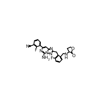 N#Cc1cccc(-c2cc3nc(Cc4c(F)cccc4CNC4CCOC4=O)nn3c(N)n2)c1F